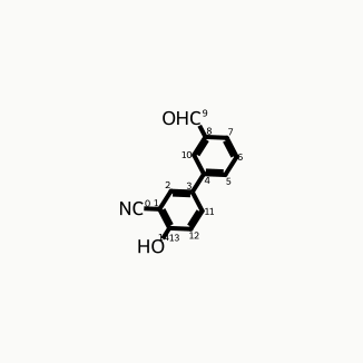 N#Cc1cc(-c2cccc(C=O)c2)ccc1O